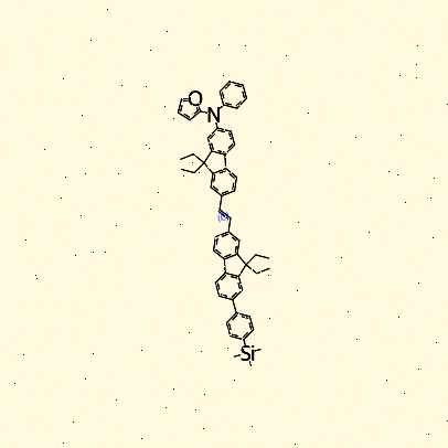 CCC1(CC)c2cc(/C=C/c3ccc4c(c3)C(CC)(CC)c3cc(N(c5ccccc5)c5ccco5)ccc3-4)ccc2-c2ccc(-c3ccc([Si](C)(C)C)cc3)cc21